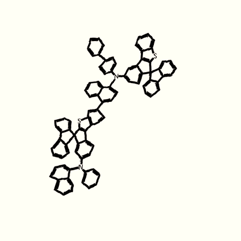 c1ccc(-c2ccc(N(c3ccc4c(c3)-c3c(sc5ccccc35)C43c4ccccc4-c4ccccc43)c3ccc(-c4ccc5c6c(sc5c4)C4(c5ccccc5-c5ccccc54)c4cc(N(c5ccccc5)c5cccc7ccccc57)ccc4-6)c4ccccc34)cc2)cc1